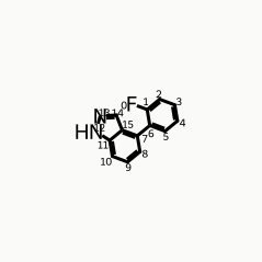 Fc1ccccc1-c1cccc2[nH]ncc12